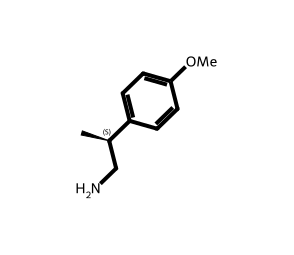 COc1ccc([C@H](C)CN)cc1